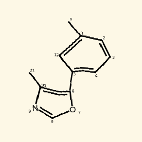 Cc1cccc(-c2ocnc2C)c1